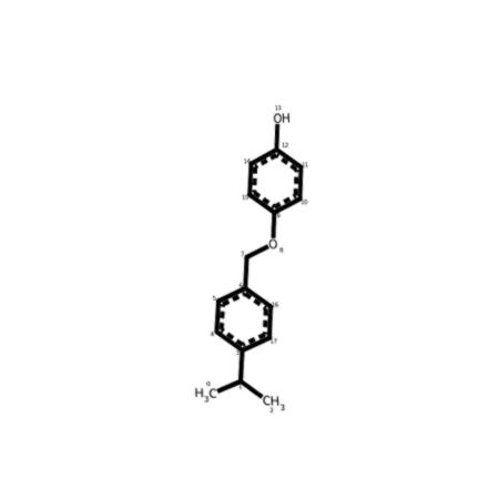 CC(C)c1ccc(COc2ccc(O)cc2)cc1